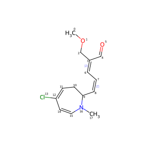 COC/C(C=O)=C/C=C\C1CC=C(Cl)C=CN1C